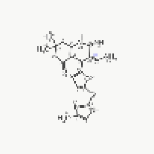 Cc1c[nH]c(Sc2ccc(C3C4=C(CC(C)(C)CC4=O)NC(=N)/C3=C\N)o2)n1